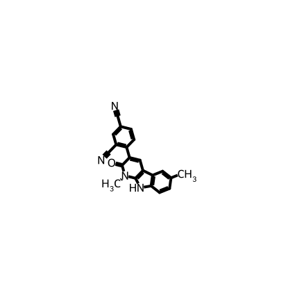 Cc1ccc2[nH]c3c(cc(-c4ccc(C#N)cc4C#N)c(=O)n3C)c2c1